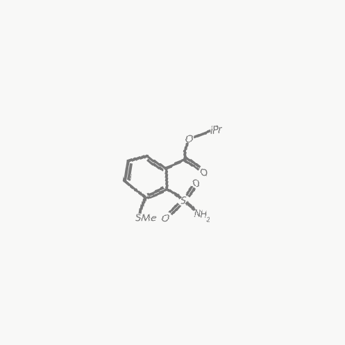 CSc1cccc(C(=O)OC(C)C)c1S(N)(=O)=O